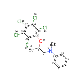 CCC(CN(CC)c1ccccc1)Oc1c(Cl)c(Cl)c(Cl)c(Cl)c1Cl